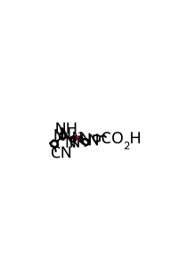 N#Cc1cccc(-c2cc(-c3cn(Cc4cccc(N5CCC(CC(=O)O)CC5)n4)nn3)nc(N)n2)c1